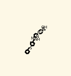 CB(O)N1CCN(c2ccc3nc(-c4ccc(SCc5ccccc5)cc4)[nH]c3n2)CC1